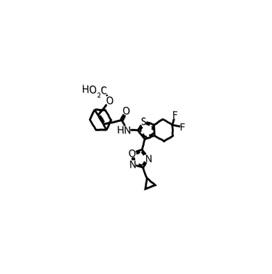 O=C(O)OC1=C(C(=O)Nc2sc3c(c2-c2nc(C4CC4)no2)CCC(F)(F)C3)C2CCC1CC2